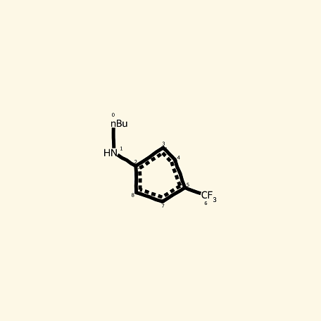 CCCCNc1[c]cc(C(F)(F)F)cc1